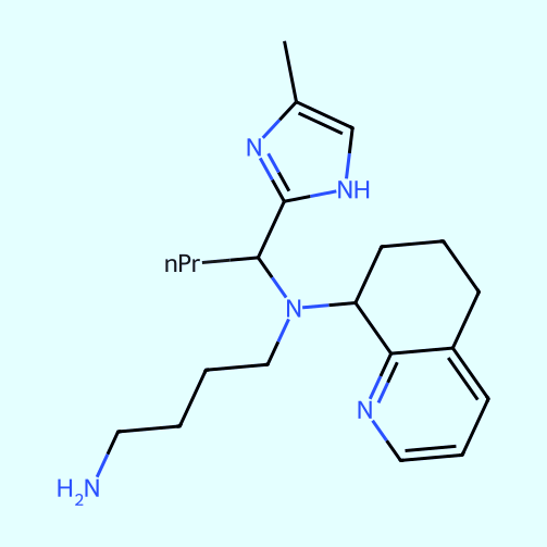 CCCC(c1nc(C)c[nH]1)N(CCCCN)C1CCCc2cccnc21